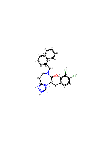 O=C1C(Cc2ccc(Cl)c(Cl)c2)n2cnnc2CCN1Cc1cccc2ccccc12